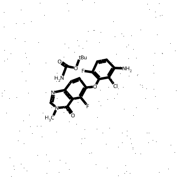 CC(C)(C)OC(N)=O.Cn1cnc2ccc(Oc3c(F)ccc(N)c3Cl)c(F)c2c1=O